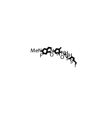 CNc1cc2ccn(-c3cnc(NC(=O)NSc4ccc(CI)s4)c(C)c3)c(=O)c2cc1F